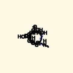 C=CCNC/C=C(\C)[C@@H]1C/C=C/C=C/[C@H](O)[C@H](C)[C@@H](O)[C@@H](CCC(C)=O)C(=O)N[C@@H](C(C)C)C(=O)N[C@@H](Cc2cccc(O)c2)C(=O)N2CCCC(N2)C(=O)O1